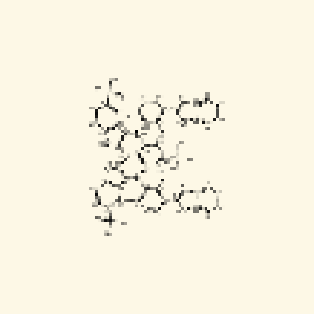 Cc1ccc(-c2cc3ccccc3s2)c(C)c1N1c2cc(C(C)(C)C)cc3c2B(c2sc4ccc(C(C)(C)C)cc4c21)c1sc2ccc(C(C)(C)C)cc2c1N3c1c(C)ccc(-c2cc3ccccc3s2)c1C